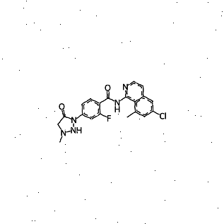 Cc1cc(Cl)cc2ccnc(NC(=O)c3ccc(N4NN(C)CC4=O)cc3F)c12